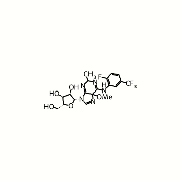 COC12N=CN([C@@H]3O[C@H](CO)[C@@H](O)[C@H]3O)C1=NC(C)N=C2Nc1cc(C(F)(F)F)ccc1F